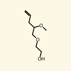 C=CCC(COCCO)OC